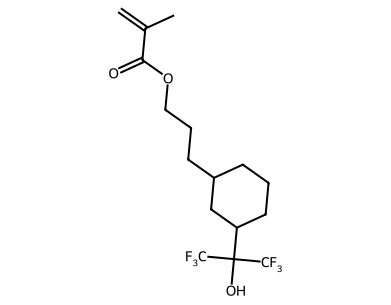 C=C(C)C(=O)OCCCC1CCCC(C(O)(C(F)(F)F)C(F)(F)F)C1